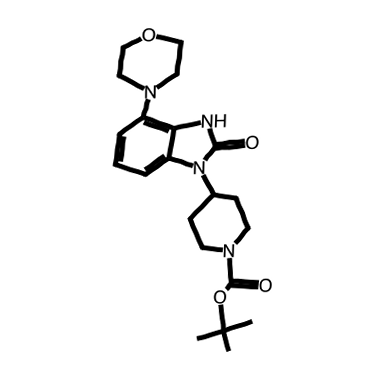 CC(C)(C)OC(=O)N1CCC(n2c(=O)[nH]c3c(N4CCOCC4)cccc32)CC1